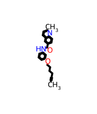 CC#CCCCCOc1cccc(NC(=O)c2ccc3nc(C)ccc3c2)c1